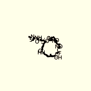 CC1=C\[C@@H](O)C[C@@H](F)Cc2nc(co2)C(=O)N2CCC[C@@H]2C(=O)O[C@H]([C@@H](C)COC(=O)Nc2csc(C)n2)[C@H](C)/C=C/C(=O)NC\C=C\1